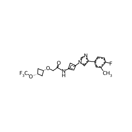 Cc1cc(-c2cn(C34CC(NC(=O)CO[C@H]5C[C@@H](OC(F)(F)F)C5)(C3)C4)cn2)ccc1F